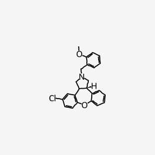 COc1ccccc1CN1CC2c3cc(Cl)ccc3Oc3ccccc3[C@H]2C1